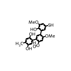 COc1cc(OO)c(-c2cc(O)c(C)cc2O)cc1-c1cc(S)cc(OC)c1O